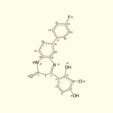 O=C1CC(c2ccc(O)c(Cl)c2O)=Nc2cc(-c3ccc(F)cc3)ccc2N1